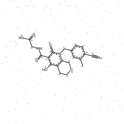 Cc1cc(Cn2c3c(c(O)c(C(=O)NCC(=O)O)c2=O)CCOC3)ccc1C#N